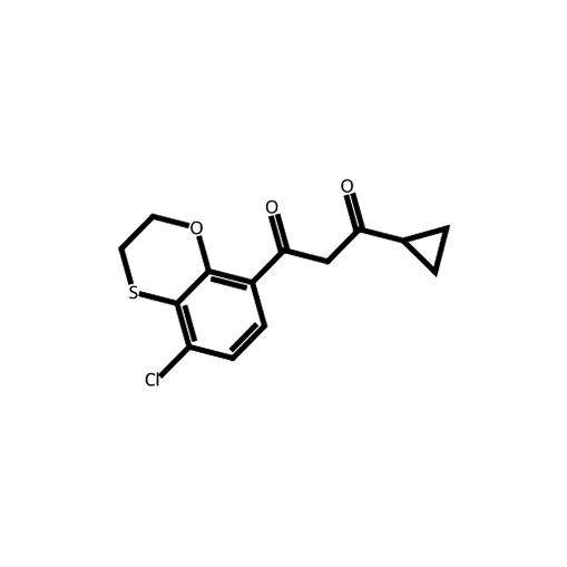 O=C(CC(=O)C1CC1)c1ccc(Cl)c2c1OCCS2